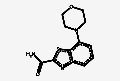 NC(=O)c1nc2cccc(N3CCOCC3)c2s1